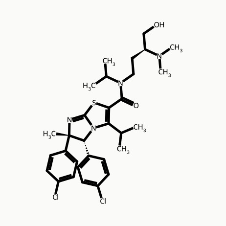 CC(C)C1=C(C(=O)N(CC[C@@H](CO)N(C)C)C(C)C)SC2=N[C@@](C)(c3ccc(Cl)cc3)[C@@H](c3ccc(Cl)cc3)N21